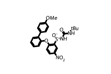 COc1ccc(-c2ccccc2Oc2ccc([N+](=O)[O-])cc2[S+]([O-])NC(=O)NC(C)(C)C)cc1